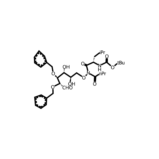 CCCC(=O)N(OC[C@@H](O)[C@@H](O)[C@H](OCc1ccccc1)[C@H](C=O)OCc1ccccc1)C(=O)[C@H](CC(C)C)NC(=O)OC(C)(C)C